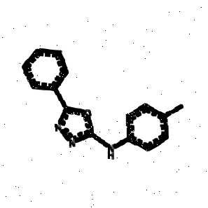 Cc1ccc(Nc2nnc(-c3ccccc3)o2)cc1